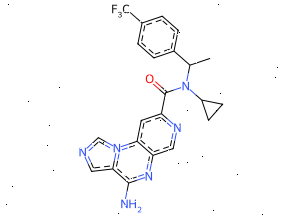 CC(c1ccc(C(F)(F)F)cc1)N(C(=O)c1cc2c(cn1)nc(N)c1cncn12)C1CC1